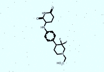 O=C(O)CN1CCC(c2ccc(NC3CCC(=O)NC3=O)cc2)C(F)(F)C1